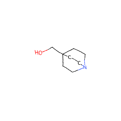 OCC12CCN(CC1)CC2